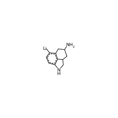 [Li][c]1ccc2c3c1CC(N)CC3CN2